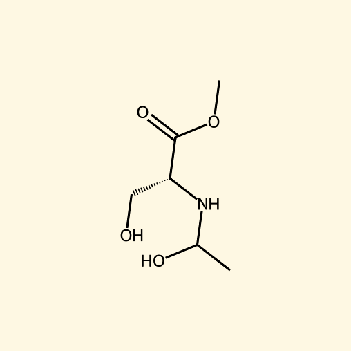 COC(=O)[C@@H](CO)NC(C)O